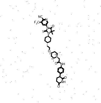 C[C@@H]1C[C@H](OCC[C@H]2CC[C@H](N3C(=S)N(c4cnc(C#N)c(C(F)(F)F)c4)C(=O)C3(C)C)CC2)C[C@H](C)N1CC(=O)Nc1ccc(C2CCC(=O)NC2=O)cc1